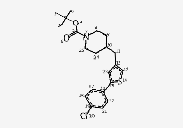 CC(C)(C)OC(=O)N1CCC(Cc2csc(-c3ccc(Cl)cc3)c2)CC1